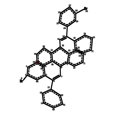 Brc1cccc(C(=Cc2c3ccccc3c(C=C(c3ccccc3)c3cccc(Br)c3)c3ccccc23)c2ccccc2)c1